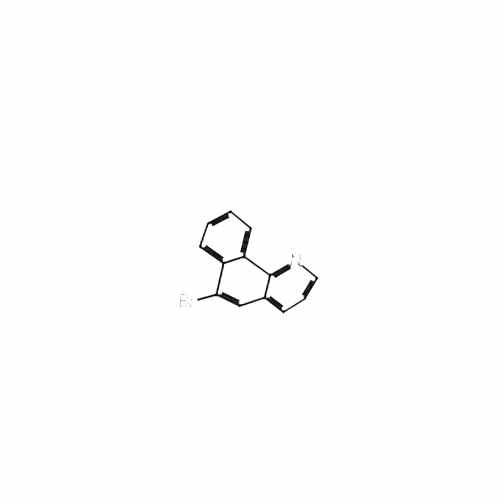 Brc1cc2cccnc2c2ccccc12